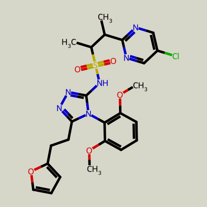 COc1cccc(OC)c1-n1c(CCc2ccco2)nnc1NS(=O)(=O)C(C)C(C)c1ncc(Cl)cn1